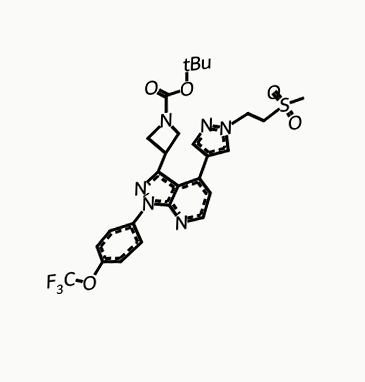 CC(C)(C)OC(=O)N1CC(c2nn(-c3ccc(OC(F)(F)F)cc3)c3nccc(-c4cnn(CCS(C)(=O)=O)c4)c23)C1